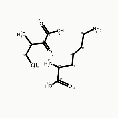 CCC(C)C(=O)C(=O)O.NCCCCC(N)C(=O)O